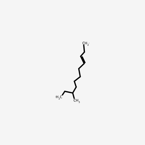 [CH2]CC=CCCCCC(C)C[CH2]